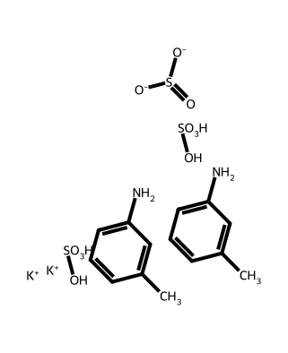 Cc1cccc(N)c1.Cc1cccc(N)c1.O=S(=O)(O)O.O=S(=O)(O)O.O=S([O-])[O-].[K+].[K+]